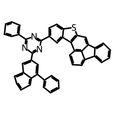 c1ccc(-c2nc(-c3cc(-c4ccccc4)c4ccccc4c3)nc(-c3ccc4sc5cc6c7c(cccc7c5c4c3)-c3ccccc3-6)n2)cc1